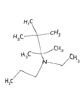 CCCN(CC)C(C)(C)C(C)(C)C